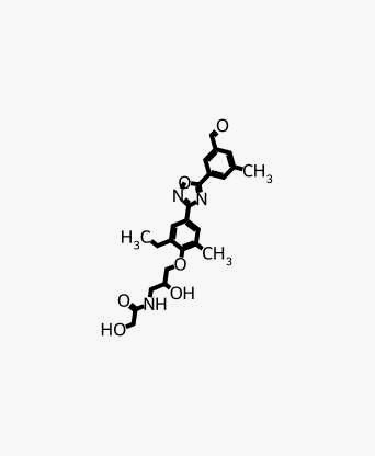 CCc1cc(-c2noc(-c3cc(C)cc(C=O)c3)n2)cc(C)c1OCC(O)CNC(=O)CO